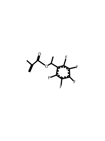 C=C(C)C(=O)OC(C)c1c(F)c(F)c(F)c(F)c1F